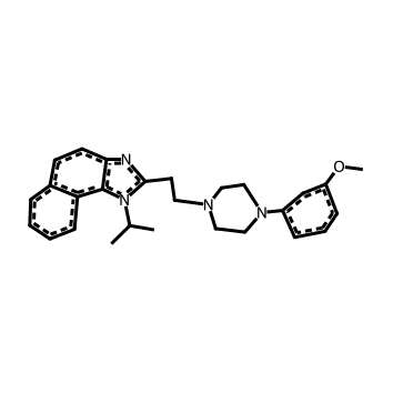 COc1cccc(N2CCN(CCc3nc4ccc5ccccc5c4n3C(C)C)CC2)c1